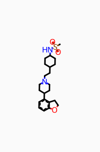 CS(=O)(=O)NC1CCC(CCN2CCC(c3cccc4c3CCO4)CC2)CC1